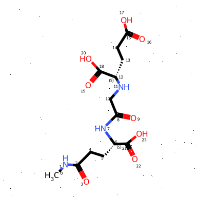 CNC(=O)CC[C@H](NC(=O)CN[C@@H](CCC(=O)O)C(=O)O)C(=O)O